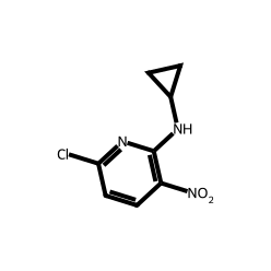 O=[N+]([O-])c1ccc(Cl)nc1NC1CC1